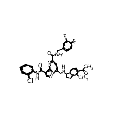 CC(=O)c1ccc2c(c1C)CCC2NCc1cc(C(=O)NCc2ccc(F)c(F)c2)nc2c(C(=O)Nc3ccccc3Cl)cnn12